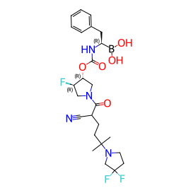 CC(C)(CCC(C#N)C(=O)N1C[C@@H](F)[C@H](OC(=O)N[C@@H](Cc2ccccc2)B(O)O)C1)N1CCC(F)(F)C1